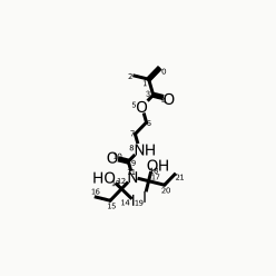 C=C(C)C(=O)OCCNC(=O)N(C(O)(I)CC)C(O)(I)CC